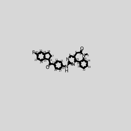 CN1C(=O)Cc2cnc(Nc3ccc(C(=O)C4CCc5cc(F)ccc54)cc3)nc2-c2ccccc21